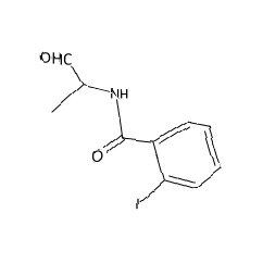 CC(C=O)NC(=O)c1ccccc1I